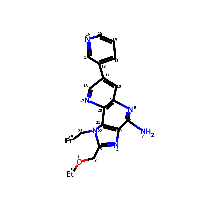 CCOCc1nc2c(N)nc3cc(-c4cccnc4)cnc3c2n1CC(C)C